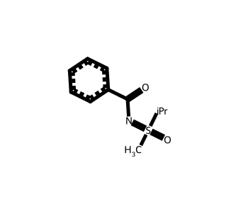 CC(C)S(C)(=O)=NC(=O)c1ccccc1